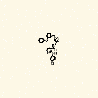 O=C(NCc1cn(Cc2cccc(Oc3ccccc3)c2)nn1)c1cccnc1Nc1ccc(Cl)cc1